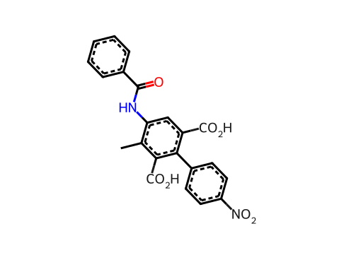 Cc1c(NC(=O)c2ccccc2)cc(C(=O)O)c(-c2ccc([N+](=O)[O-])cc2)c1C(=O)O